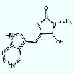 CN1C(=O)S/C(=C\c2c[nH]c3ccncc23)C1O